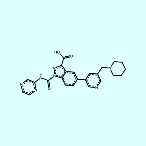 O=C(O)c1nn(C(=O)Nc2cnccn2)c2ccc(-c3cncc(CN4CCCCC4)c3)cc12